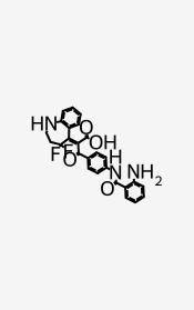 Nc1ccccc1C(=O)Nc1ccc(C(=O)C(C(=O)O)=C2c3ccccc3NCCC2(F)F)cc1